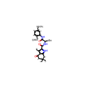 CCCCC(NC(=O)c1[nH]c2c(c1C)C(=O)CC(C)(C)C2)C(=O)Nc1cc(NC(C)=O)ccc1OC